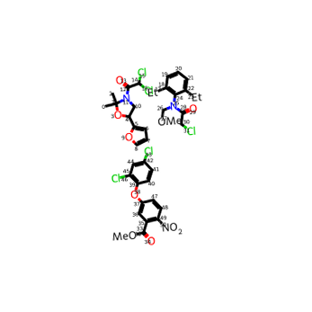 CC1(C)OC(c2ccco2)CN1C(=O)C(Cl)Cl.CCc1cccc(CC)c1N(COC)C(=O)CCl.COC(=O)c1cc(Oc2ccc(Cl)cc2Cl)ccc1[N+](=O)[O-]